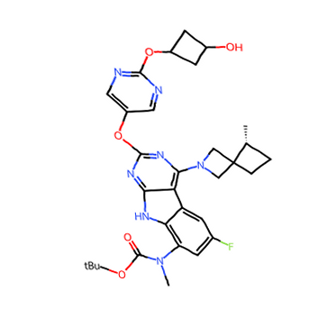 C[C@@H]1CCC12CN(c1nc(Oc3cnc(OC4CC(O)C4)nc3)nc3[nH]c4c(N(C)C(=O)OC(C)(C)C)cc(F)cc4c13)C2